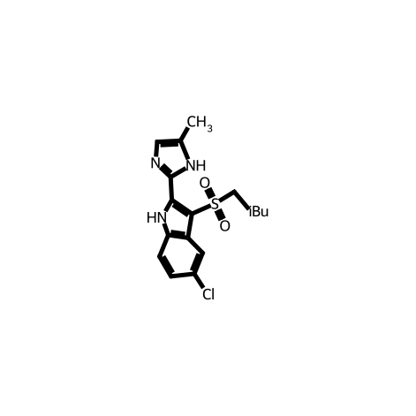 CCC(C)CS(=O)(=O)c1c(-c2ncc(C)[nH]2)[nH]c2ccc(Cl)cc12